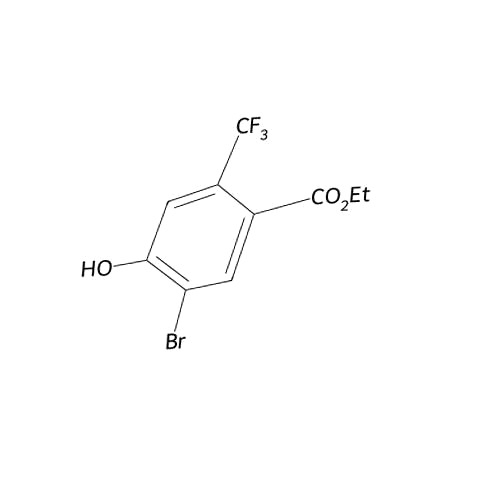 CCOC(=O)c1cc(Br)c(O)cc1C(F)(F)F